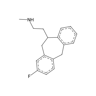 CNCCC1Cc2cc(F)ccc2Cc2ccccc21